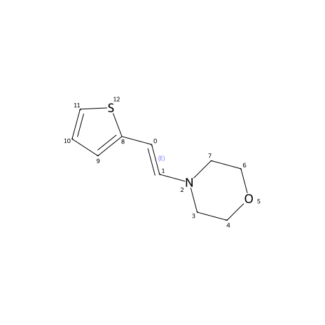 C(=C\N1CCOCC1)/c1cccs1